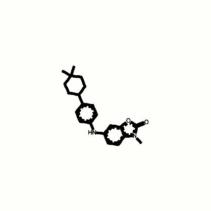 Cn1c(=O)oc2cc(Nc3ccc(C4CCC(C)(C)CC4)cc3)ccc21